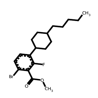 CCCCCC1CCC(c2ccc(Br)c(C(=O)OC)c2F)CC1